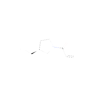 C=CC(=O)N1CC[C@H](CC)C1